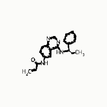 C=CC(=O)Nc1ccc2ncnc(N[C@H](CC)c3ccccc3)c2c1